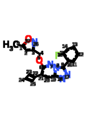 Cc1cc(COc2nn3c(-c4ccccc4F)nnc3cc2C2=CC=C2)no1